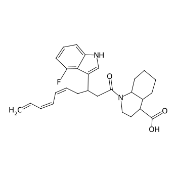 C=C/C=C\C=C/CC(CC(=O)N1CCC(C(=O)O)C2CCCCC21)c1c[nH]c2cccc(F)c12